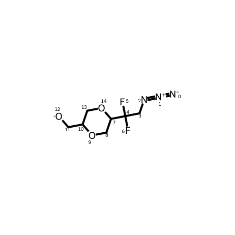 [N-]=[N+]=NCC(F)(F)C1COC(C[O])CO1